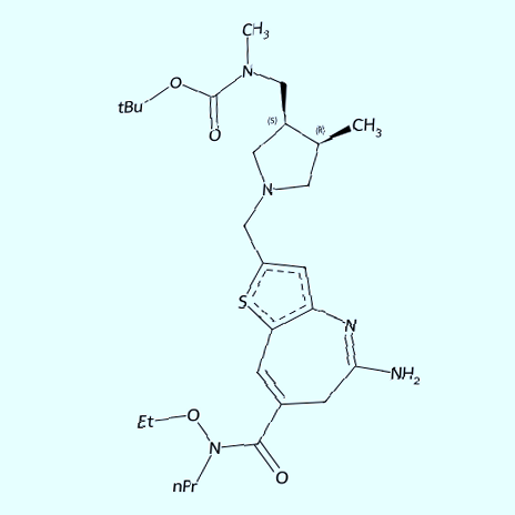 CCCN(OCC)C(=O)C1=Cc2sc(CN3C[C@@H](CN(C)C(=O)OC(C)(C)C)[C@@H](C)C3)cc2N=C(N)C1